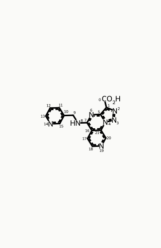 O=C(O)c1nnn2c1nc(NCc1cccnc1)c1ccncc12